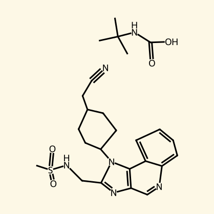 CC(C)(C)NC(=O)O.CS(=O)(=O)NCc1nc2cnc3ccccc3c2n1C1CCC(CC#N)CC1